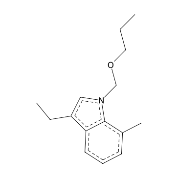 CCCOCn1cc(CC)c2cccc(C)c21